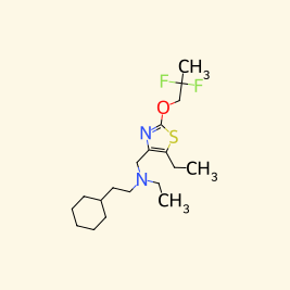 CCc1sc(OCC(C)(F)F)nc1CN(CC)CCC1CCCCC1